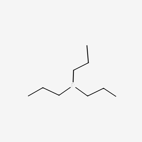 [CH2]CCP(CCC)CCC